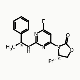 CC(C)[C@H]1COC(=O)N1c1cc(F)nc(N[C@@H](C)c2ccccc2)n1